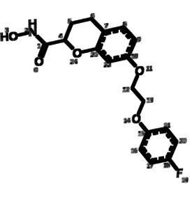 O=C(NO)C1CCc2ccc(OCCOc3ccc(F)cc3)cc2O1